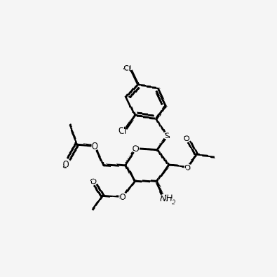 CC(=O)OCC1OC(Sc2ccc(Cl)cc2Cl)C(OC(C)=O)C(N)C1OC(C)=O